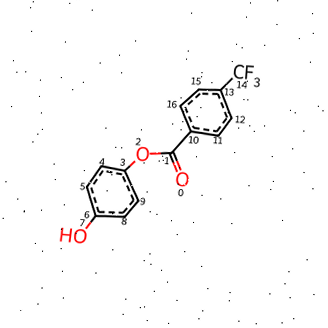 O=C(Oc1ccc(O)cc1)c1ccc(C(F)(F)F)cc1